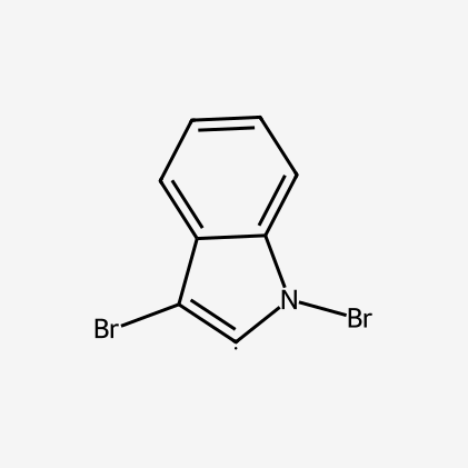 Brc1[c]n(Br)c2ccccc12